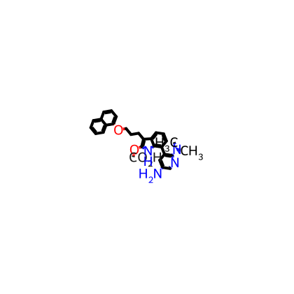 CN(C)c1ncc(N)cc1-c1cccc2c(CCCOc3cccc4ccccc34)c(OC(=O)O)[nH]c12